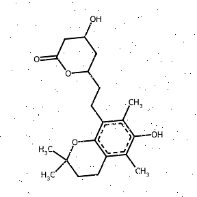 Cc1c(O)c(C)c2c(c1CCC1CC(O)CC(=O)O1)OC(C)(C)CC2